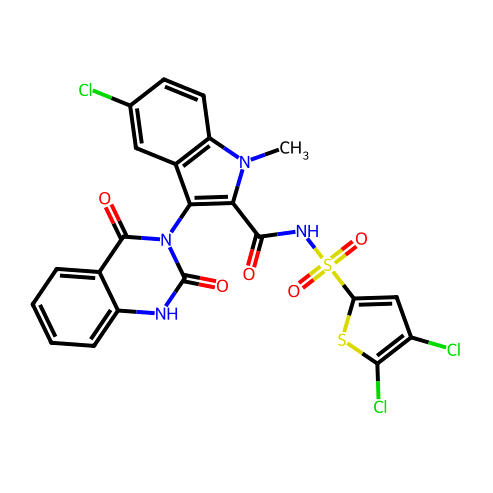 Cn1c(C(=O)NS(=O)(=O)c2cc(Cl)c(Cl)s2)c(-n2c(=O)[nH]c3ccccc3c2=O)c2cc(Cl)ccc21